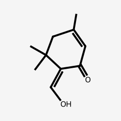 CC1=CC(=O)C(=CO)C(C)(C)C1